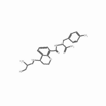 Cc1ccc(C[C@H](NC(=O)c2cccc3c2OCCC3NCC(N)CS)C(N)=O)cc1